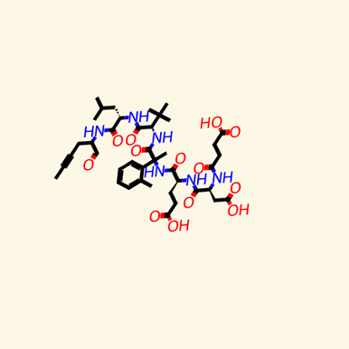 CC#CCC(C=O)NC(=O)[C@H](CC(C)C)NC(=O)[C@@H](NC(=O)C(C)(NC(=O)[C@H](CCC(=O)O)NC(=O)[C@H](CC(=O)O)NC(=O)CCC(=O)O)c1ccccc1C)C(C)(C)C